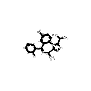 CC(C)c1nnc2n1-c1ccc(Br)cc1C(c1ccccc1F)=NC2C